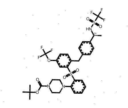 C[C@H](NS(=O)(=O)C(F)(F)F)c1ccc(Cc2ccc(OC(F)(F)F)cc2S(=O)(=O)c2ccccc2N2CCN(C(=O)OC(C)(C)C)CC2)cc1